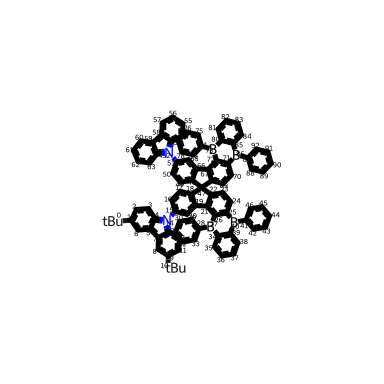 CC(C)(C)c1ccc2c(c1)c1cc(C(C)(C)C)ccc1n2-c1ccc2c(c1)-c1c(ccc3c1B(c1ccccc1)c1ccccc1B3c1ccccc1)C21c2ccc(-n3c4ccccc4c4ccccc43)cc2-c2c1ccc1c2B(c2ccccc2)c2ccccc2B1c1ccccc1